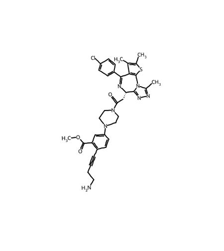 COC(=O)c1cc(N2CCN(C(=O)C[C@@H]3N=C(c4ccc(Cl)cc4)c4c(sc(C)c4C)-n4c(C)nnc43)CC2)ccc1C#CCCN